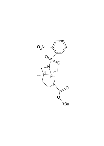 CC(C)(C)OC(=O)N1CC[C@H]2CN(S(=O)(=O)c3ccccc3[N+](=O)[O-])[C@H]2C1